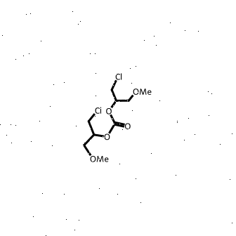 COCC(CCl)OC(=O)OC(CCl)COC